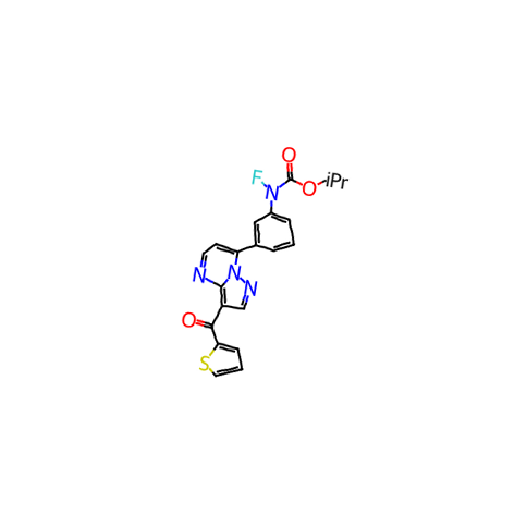 CC(C)OC(=O)N(F)c1cccc(-c2ccnc3c(C(=O)c4cccs4)cnn23)c1